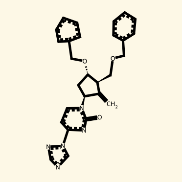 C=C1[C@H](COCc2ccccc2)[C@@H](OCc2ccccc2)C[C@@H]1n1ccc(-n2cncn2)nc1=O